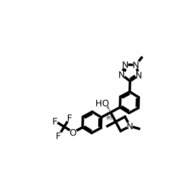 CN1CC(C)([C@@](O)(c2ccc(OC(F)(F)F)cc2)c2cccc(-c3nnn(C)n3)c2)C1